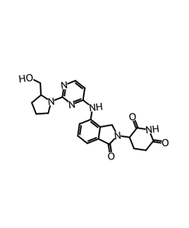 O=C1CCC(N2Cc3c(Nc4ccnc(N5CCCC5CO)n4)cccc3C2=O)C(=O)N1